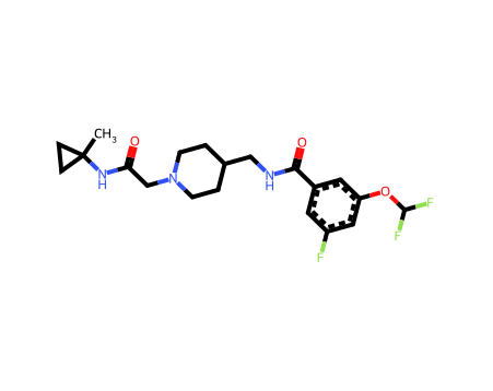 CC1(NC(=O)CN2CCC(CNC(=O)c3cc(F)cc(OC(F)F)c3)CC2)CC1